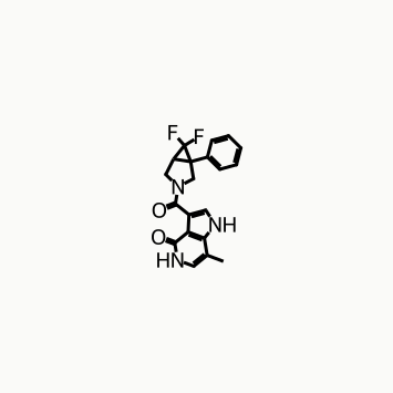 Cc1c[nH]c(=O)c2c(C(=O)N3CC4C(F)(F)C4(c4ccccc4)C3)c[nH]c12